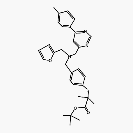 Cc1ccc(-c2cc(CN(Cc3ccc(SC(C)(C)C(=O)OC(C)(C)C)cc3)Cc3ccco3)ncn2)cc1